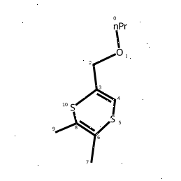 CCCOCC1=CSC(C)=C(C)S1